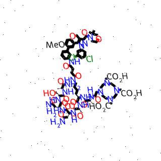 COc1cc2c(cc1-c1cccc(NC(=O)CCC(=O)NCCCC[C@@H](NC(=O)[C@@H](C)NC(=O)CN3CCN(CC(=O)O)CCN(CC(=O)O)CCN(CC(=O)O)CC3)C(=O)N[C@H](CO)C(=O)N[C@H](CC(N)=O)C(=O)N[C@H](CC(N)=O)C(=O)N[C@H](CO)C(=O)N[C@H](C)C(N)=O)c1)-c1c(c(C(=O)N3CCOCC3(C)C)nn1-c1cc(Cl)cc(Cl)c1)CO2